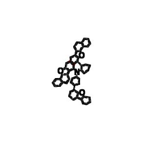 c1ccc(N(c2ccc(-c3cccc4c3oc3ccccc34)cc2)c2cccc3oc4c5ccccc5ccc4c23)c(-c2cccc3c2oc2c4ccccc4ccc32)c1